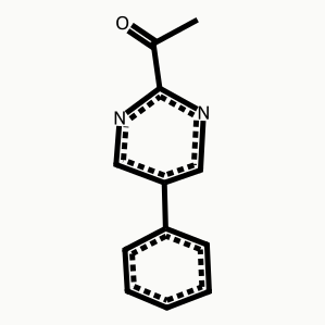 CC(=O)c1ncc(-c2ccccc2)cn1